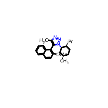 COc1ccc2ccccc2c1-c1c(C)nnn1[C@@H]1C[C@@H](C)CC[C@@H]1C(C)C